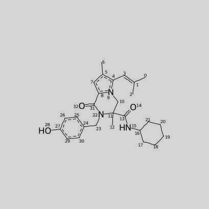 CC(C)=Cc1c(C)cc2n1CC(C)(C(=O)NC1CCCCC1)N(Cc1ccc(O)cc1)C2=O